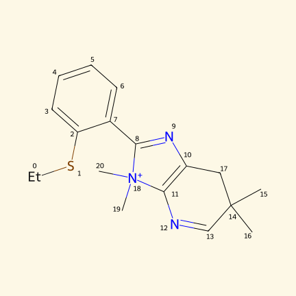 CCSc1ccccc1C1=NC2=C(N=CC(C)(C)C2)[N+]1(C)C